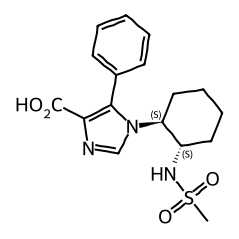 CS(=O)(=O)N[C@H]1CCCC[C@@H]1n1cnc(C(=O)O)c1-c1ccccc1